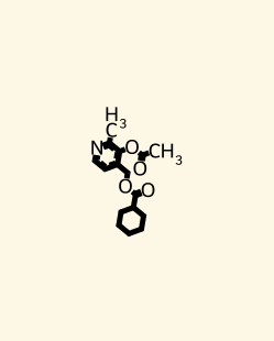 CC(=O)Oc1c(COC(=O)C2CCCCC2)ccnc1C